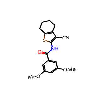 COc1cc(OC)cc(C(=O)Nc2sc3c(c2C#N)CCCC3)c1